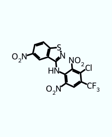 O=[N+]([O-])c1ccc2snc(Nc3c([N+](=O)[O-])cc(C(F)(F)F)c(Cl)c3[N+](=O)[O-])c2c1